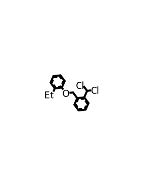 CCc1ccccc1OCc1ccccc1C(Cl)Cl